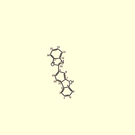 [c]1ccc2c(c1)oc1cc(-c3nc4ccccc4o3)ccc12